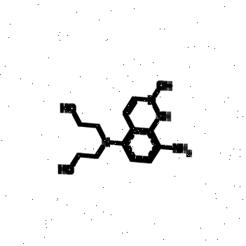 Nc1ccc(N(CCO)CCO)c2c1NN(O)C=C2